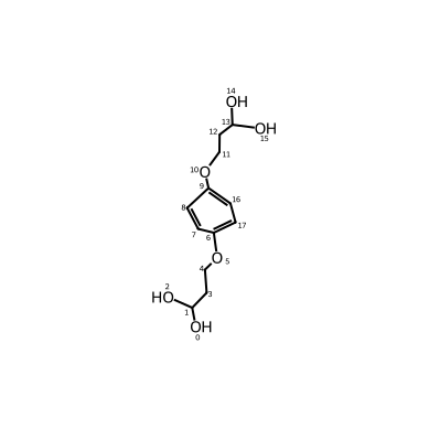 OC(O)CCOc1ccc(OCCC(O)O)cc1